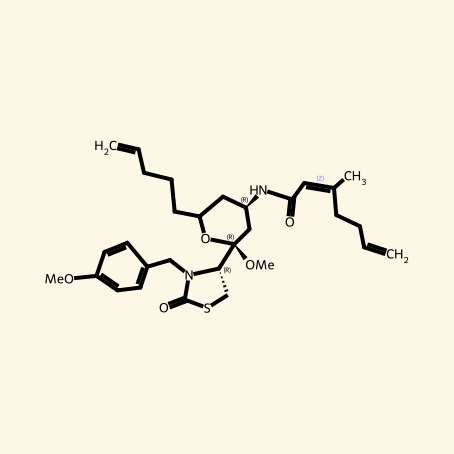 C=CCCCC1C[C@@H](NC(=O)/C=C(/C)CCC=C)C[C@](OC)([C@@H]2CSC(=O)N2Cc2ccc(OC)cc2)O1